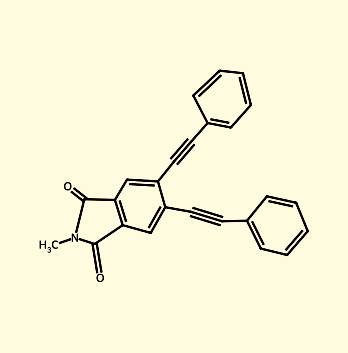 CN1C(=O)c2cc(C#Cc3ccccc3)c(C#Cc3ccccc3)cc2C1=O